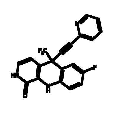 O=c1[nH]ccc2c1Nc1ccc(F)cc1C2(C#Cc1ccccn1)C(F)(F)F